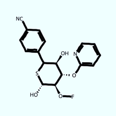 N#Cc1ccc(C2S[C@@H](O)[C@H](OF)[C@@H](Oc3ccccn3)[C@@H]2O)cc1